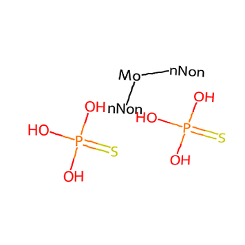 CCCCCCCC[CH2][Mo][CH2]CCCCCCCC.OP(O)(O)=S.OP(O)(O)=S